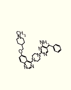 CN1CCC(COc2ccc3ncnc(N4CCN(c5ncc(Cc6ccccc6)c(N)n5)CC4)c3c2)CC1